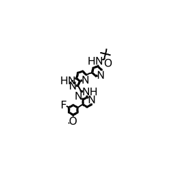 COc1cc(F)cc(-c2ccnc3[nH]c(-c4n[nH]c5ccc(-c6cncc(NC(=O)C(C)(C)C)c6)nc45)nc23)c1